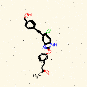 CC(=O)CCc1cccc(Oc2nc3cc(C#Cc4ccc(CO)cc4)c(Cl)cc3[nH]2)c1